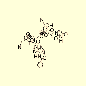 N#CCCOP(=O)(O)OC1C(F)[C@H](n2cnc3c(NC(=O)c4ccccc4)ncnc32)O[C@@H]1COP(=S)(OCCC#N)OC1C(F)[C@H](n2ccc(=O)[nH]c2=O)O[C@@H]1CO